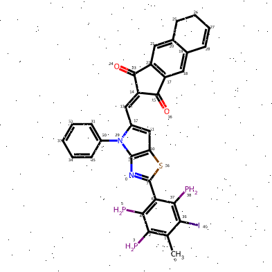 Cc1c(P)c(P)c(-c2nc3c(cc(/C=C4\C(=O)c5cc6c(cc5C4=O)CCC=C6)n3-c3ccccc3)s2)c(P)c1I